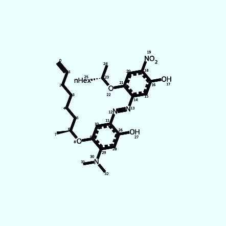 C=CCCCC[C@H](C)Oc1cc(N=Nc2cc(O)c([N+](=O)[O-])cc2O[C@@H](C)CCCCCC)c(O)cc1N(C)C